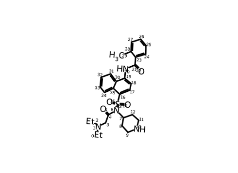 CCN(CC)CC(=O)N(C1CCNCC1)S(=O)(=O)c1ccc(NC(=O)c2ccccc2C)c2ccccc12